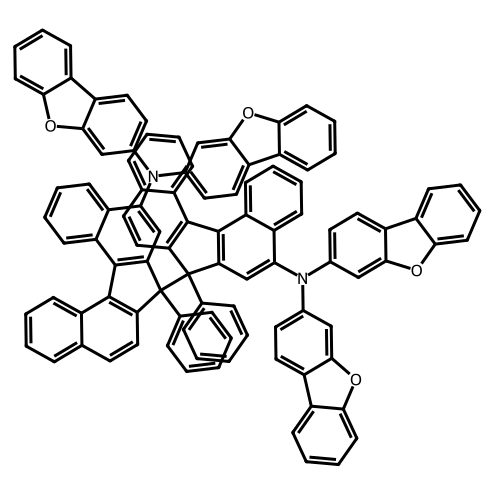 c1ccc(C2(C3(c4ccccc4)c4ccc5ccccc5c4-c4c3cc(N(c3ccc5c(c3)oc3ccccc35)c3ccc5c(c3)oc3ccccc35)c3ccccc43)c3ccc4ccccc4c3-c3c2cc(N(c2ccc4c(c2)oc2ccccc24)c2ccc4c(c2)oc2ccccc24)c2ccccc32)cc1